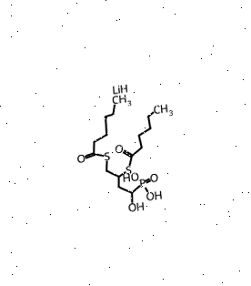 CCCCCC(=O)SCC(CC(O)P(=O)(O)O)SC(=O)CCCCC.[LiH]